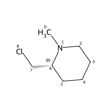 CN1CCCC[C@@H]1CCl